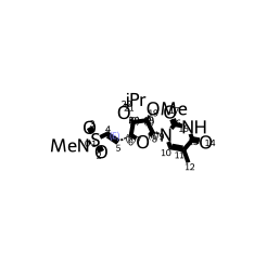 CNS(=O)(=O)/C=C/[C@H]1O[C@@H](n2cc(C)c(=O)[nH]c2=O)[C@H](OC)[C@@H]1OC(C)C